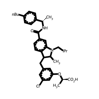 CCCCc1ccc([C@H](C)NC(=O)c2ccc3c(c2)N(CC(C)C)C(C)C3Cc2cc(Cl)cc(O[C@H](C)C(=O)O)c2)cc1